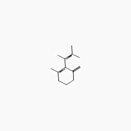 C=C1CCCC(C)=C1C(Cl)=C(C)C